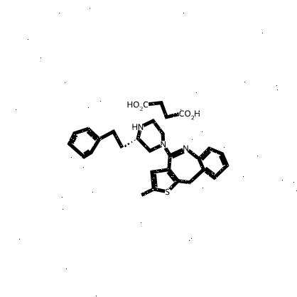 Cc1cc2c(s1)Cc1ccccc1N=C2N1CCN[C@@H](CCc2ccccc2)C1.O=C(O)CCC(=O)O